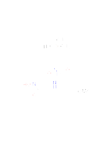 COc1ccc(C(NC(=O)C2CC(=O)N(O)C2)C(=O)Nc2ccc(S(C)(C)C)cc2)cc1